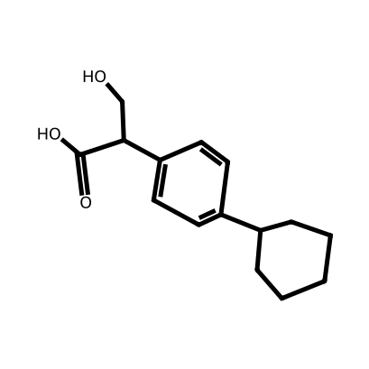 O=C(O)C(CO)c1ccc(C2CCCCC2)cc1